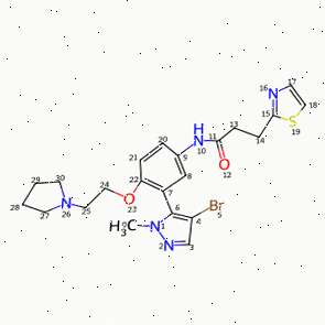 Cn1ncc(Br)c1-c1cc(NC(=O)CCc2nccs2)ccc1OCCN1CCCC1